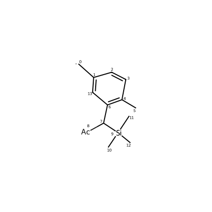 [CH2]c1ccc(C)c(C(C(C)=O)[Si](C)(C)C)c1